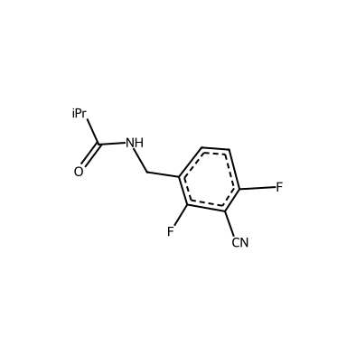 CC(C)C(=O)NCc1ccc(F)c(C#N)c1F